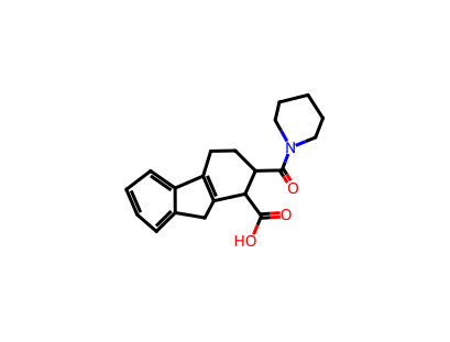 O=C(O)C1C2=C(CCC1C(=O)N1CCCCC1)c1ccccc1C2